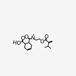 C=C(C(=O)OCCN(C)C(=O)C1CC=CCC1C(=O)O)C(C)C